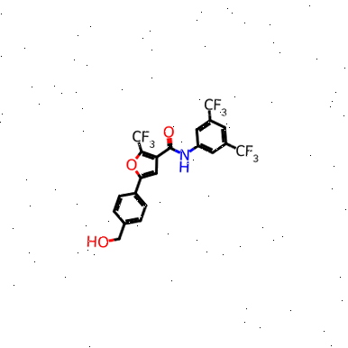 O=C(Nc1cc(C(F)(F)F)cc(C(F)(F)F)c1)c1cc(-c2ccc(CO)cc2)oc1C(F)(F)F